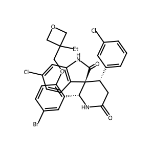 CCC1(COc2ccc(Br)cc2[C@H]2NC(=O)C[C@@H](c3cccc(Cl)c3)[C@]23C(=O)Nc2cc(Cl)ccc23)COC1